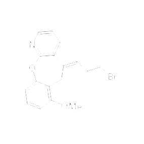 COc1cccc2c1C/C(=C\CCBr)c1cccnc1O2